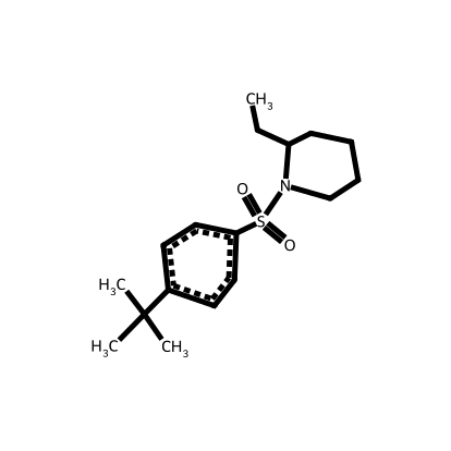 CCC1CCCCN1S(=O)(=O)c1ccc(C(C)(C)C)cc1